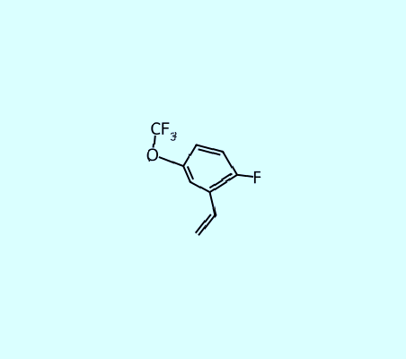 C=Cc1cc(OC(F)(F)F)ccc1F